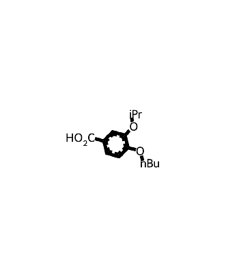 CCCCOc1ccc(C(=O)O)cc1OC(C)C